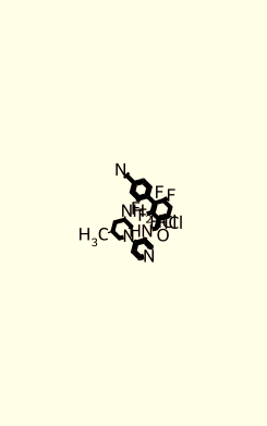 C[C@@H]1C[C@H](N)CN(c2ccncc2NC(=O)C2=CCC(F)(F)C(c3ccc(C#N)cc3F)=C2F)C1.Cl.Cl